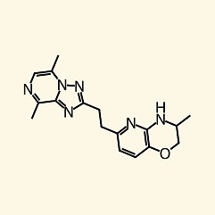 Cc1ncc(C)n2nc(CCc3ccc4c(n3)NC(C)CO4)nc12